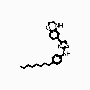 CCCCCCCCc1ccc(Nc2nc(-c3ccc4c(c3)NCCO4)cs2)cc1